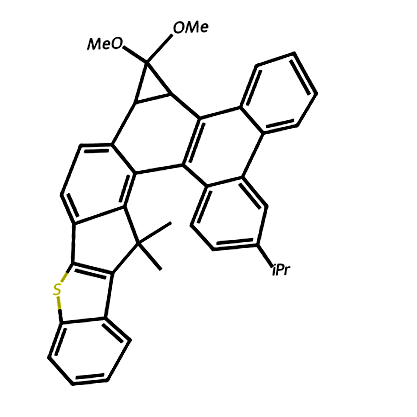 COC1(OC)C2c3ccc4c(c3-c3c(c5ccccc5c5cc(C(C)C)ccc35)C21)C(C)(C)c1c-4sc2ccccc12